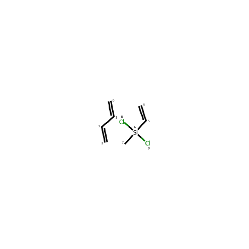 C=CC=C.C=C[Si](C)(Cl)Cl